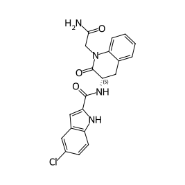 NC(=O)CN1C(=O)[C@@H](NC(=O)c2cc3cc(Cl)ccc3[nH]2)Cc2ccccc21